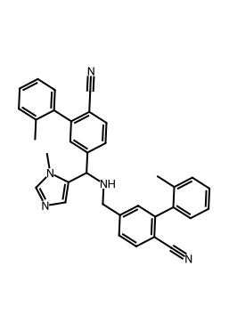 Cc1ccccc1-c1cc(CNC(c2ccc(C#N)c(-c3ccccc3C)c2)c2cncn2C)ccc1C#N